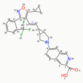 O=C(O)c1cc2ccc(N3CC4C(/C=C/c5c(-c6ccccc6C(F)(F)F)noc5C5CC5)C4C3)cc2cn1